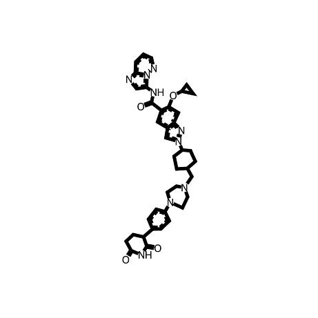 O=C1CCC(c2ccc(N3CCN(CC4CCC(n5cc6cc(C(=O)Nc7cnc8cccnn78)c(OC7CC7)cc6n5)CC4)CC3)cc2)C(=O)N1